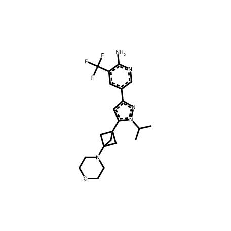 CC(C)n1nc(-c2cnc(N)c(C(F)(F)F)c2)cc1C12CC(N3CCOCC3)(C1)C2